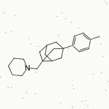 Cc1ccc(C23CC4CC(C2)C(CN2CCCCC2)(C4)C3)cc1